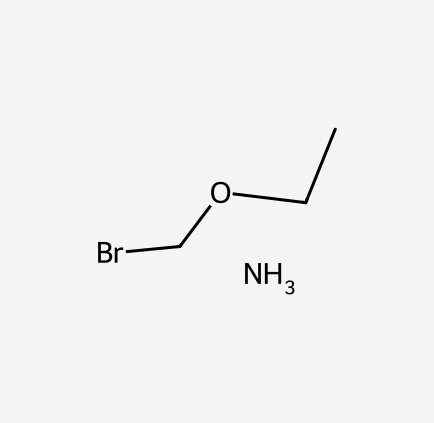 CCOCBr.N